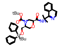 CC(C)(C)OC(=O)N1C[C@@H](C(=O)NC(C)(C)c2nccc3ccccc23)OC[C@H]1CO[Si](c1ccccc1)(c1ccccc1)C(C)(C)C